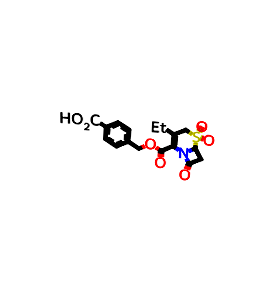 CCC1=C(C(=O)OCc2ccc(C(=O)O)cc2)N2C(=O)CC2S(=O)(=O)C1